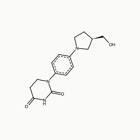 O=C1CCN(c2ccc(N3CC[C@@H](CO)C3)cc2)C(=O)N1